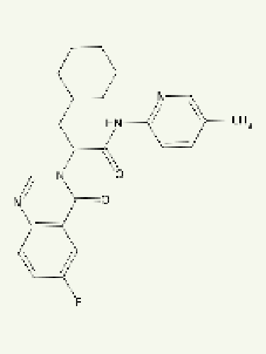 Cc1ccc(NC(=O)C(CC2CCCCC2)n2cnc3ccc(F)cc3c2=O)nc1